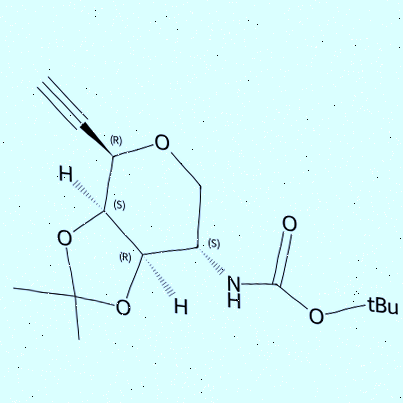 C#C[C@H]1OC[C@H](NC(=O)OC(C)(C)C)[C@H]2OC(C)(C)O[C@H]21